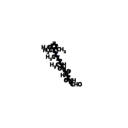 CC1=C(/C=C/C(C)=C/C=C/C(C)=C/C(=O)NCC(=O)NCC(=O)NCC=O)C(C)(C)CCC1